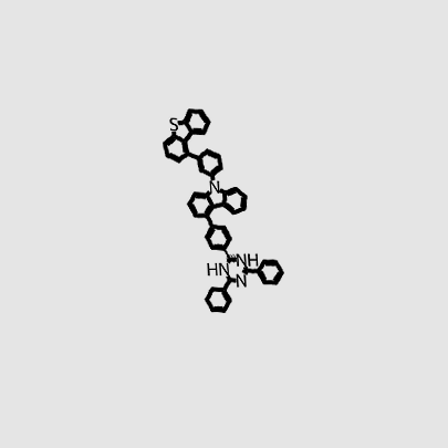 C1=CCCC(C2N=C(c3ccccc3)N[C@H](c3ccc(-c4cccc5c4c4ccccc4n5-c4cccc(-c5cccc6sc7ccccc7c56)c4)cc3)N2)=C1